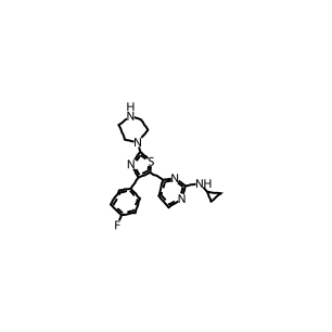 Fc1ccc(-c2nc(N3CCNCC3)sc2-c2ccnc(NC3CC3)n2)cc1